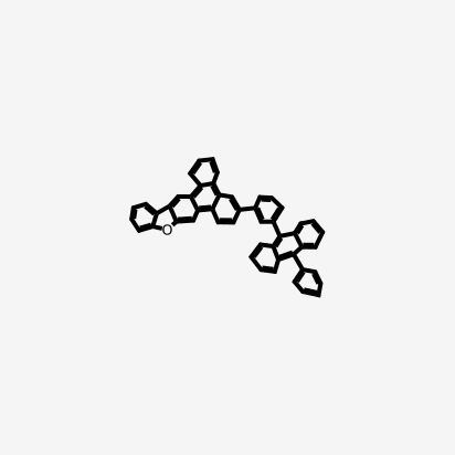 c1ccc(-c2c3ccccc3c(-c3cccc(-c4ccc5c(c4)c4ccccc4c4cc6c(cc54)oc4ccccc46)c3)c3ccccc23)cc1